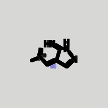 C=[N+](C)/C=C1/C=NNC1=N